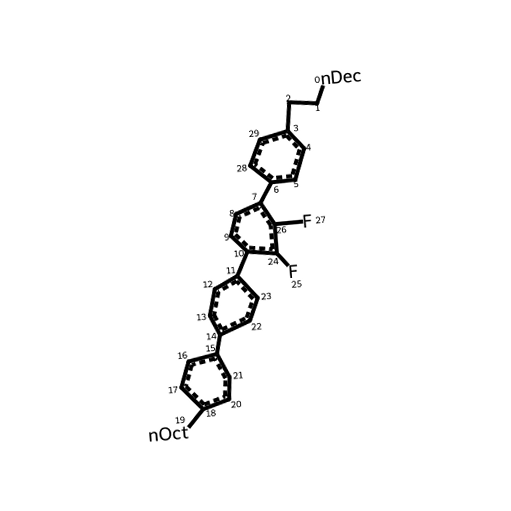 CCCCCCCCCCCCc1ccc(-c2ccc(-c3ccc(-c4ccc(CCCCCCCC)cc4)cc3)c(F)c2F)cc1